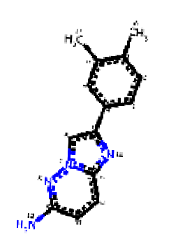 Cc1ccc(-c2cn3nc(N)ccc3n2)cc1C